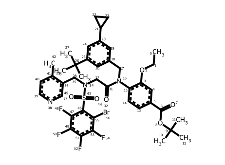 CCOc1cc(C(=O)OC(C)(C)C)ccc1N(Cc1cc(C2CC2)cc(C(C)(C)C)c1)C(=O)CN(Cc1cnccc1C)S(=O)(=O)c1c(F)c(F)c(F)c(F)c1Br